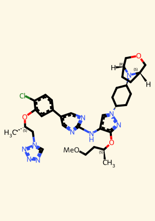 COCC[C@H](C)Oc1nn([C@H]2CC[C@H](N3[C@@H]4CC[C@H]3COC4)CC2)cc1Nc1ncc(-c2ccc(Cl)c(O[C@@H](C)Cn3cnnn3)c2)cn1